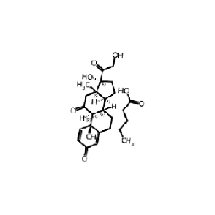 CCCCC(=O)O.C[C@]12C=CC(=O)C=C1CC[C@@H]1[C@@H]2C(=O)C[C@@]2(C)[C@H]1CC[C@]2(O)C(=O)CO